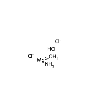 Cl.N.O.[Cl-].[Cl-].[Mg+2]